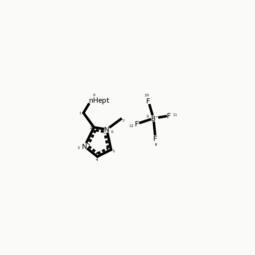 CCCCCCCCc1nccn1C.F[B-](F)(F)F